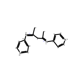 C/C(C/C(C)=N/c1ccncc1)=N/c1ccncc1